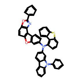 c1ccc(-c2nc3c(ccc4oc5cc(N(c6ccc7c8ccccc8n(-c8ccccc8)c7c6)c6cccc7sc8ccccc8c67)ccc5c43)o2)cc1